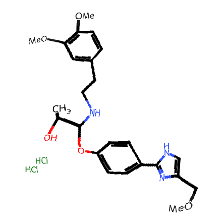 COCc1c[nH]c(-c2ccc(OC(NCCc3ccc(OC)c(OC)c3)C(C)O)cc2)n1.Cl.Cl